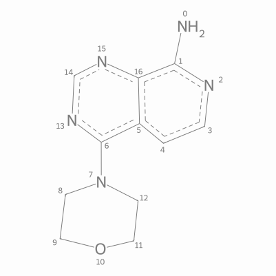 Nc1nccc2c(N3CCOCC3)ncnc12